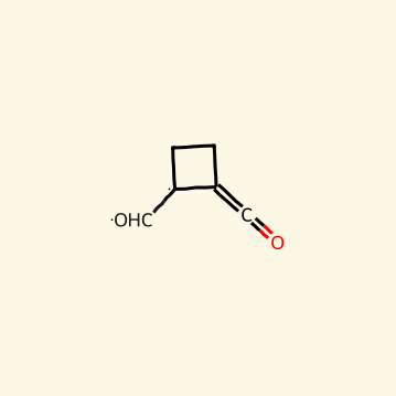 O=[C][C]1CCC1=C=O